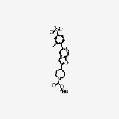 Cc1cc(S(C)(=O)=O)ccc1-c1cc2cc(C3CCN(C(=O)OC(C)(C)C)CC3)oc2cn1